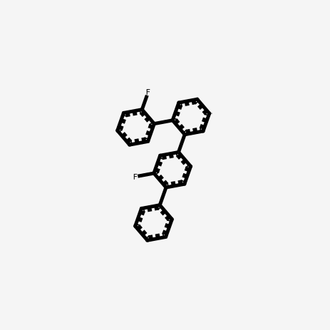 Fc1cc(-c2c[c]ccc2-c2ccccc2F)ccc1-c1ccccc1